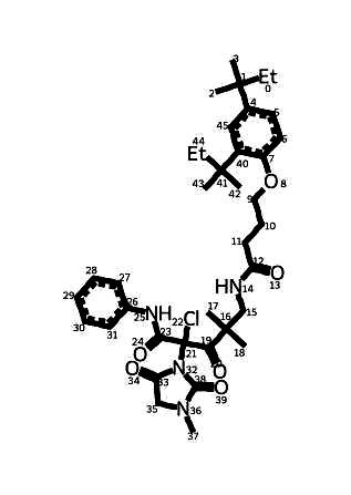 CCC(C)(C)c1ccc(OCCCC(=O)NCC(C)(C)C(=O)C(Cl)(C(=O)Nc2ccccc2)N2C(=O)CN(C)C2=O)c(C(C)(C)CC)c1